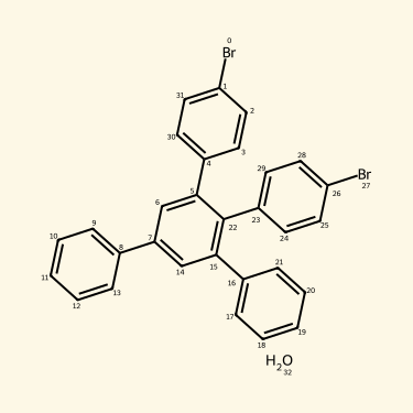 Brc1ccc(-c2cc(-c3ccccc3)cc(-c3ccccc3)c2-c2ccc(Br)cc2)cc1.O